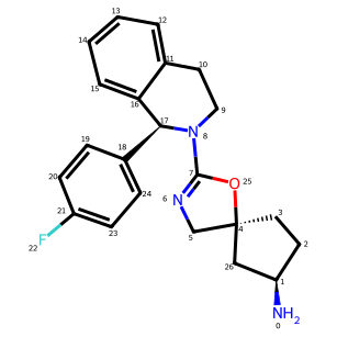 N[C@@H]1CC[C@@]2(CN=C(N3CCc4ccccc4[C@@H]3c3ccc(F)cc3)O2)C1